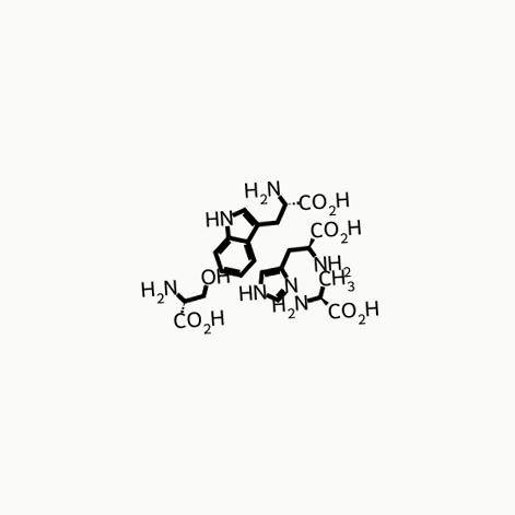 C[C@H](N)C(=O)O.N[C@@H](Cc1c[nH]c2ccccc12)C(=O)O.N[C@@H](Cc1c[nH]cn1)C(=O)O.N[C@H](CO)C(=O)O